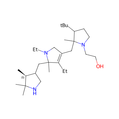 CCC1=C(CC2(C)C(C(C)(C)C)CCN2CCO)CN(CC)C1(C)CC1CNC(C)(C)[C@H]1C